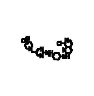 O=S1(=O)CCN(Cc2cnc(NC[C@H]3CC[C@H](Nc4ccc5ccnc(Cl)c5n4)CC3)nc2)CC1